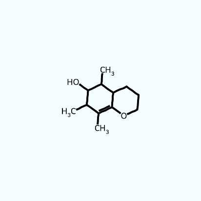 CC1=C2OCCCC2C(C)C(O)C1C